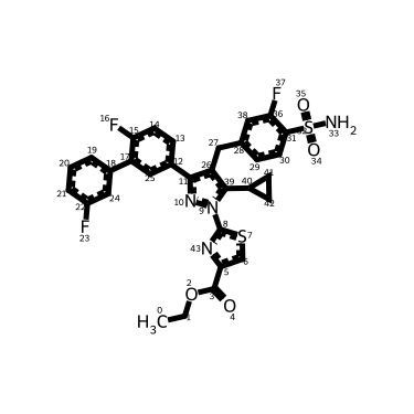 CCOC(=O)c1csc(-n2nc(-c3ccc(F)c(-c4cccc(F)c4)c3)c(Cc3ccc(S(N)(=O)=O)c(F)c3)c2C2CC2)n1